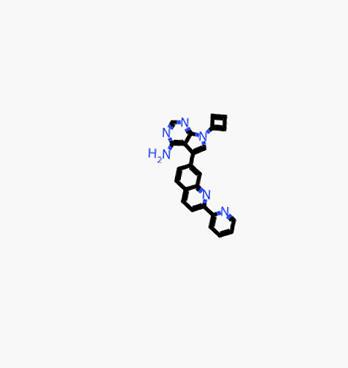 Nc1ncnc2c1c(-c1ccc3ccc(-c4ccccn4)nc3c1)cn2C1=CC=C1